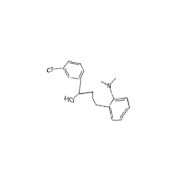 CN(C)c1ccccc1CCC(O)c1cccc(Cl)c1